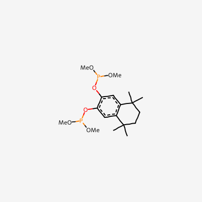 COP(OC)Oc1cc2c(cc1OP(OC)OC)C(C)(C)CCC2(C)C